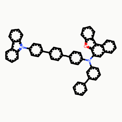 c1ccc(-c2cccc(N(c3ccc(-c4ccc(-c5ccc(-n6c7ccccc7c7ccccc76)cc5)cc4)cc3)c3cc4ccccc4c4c3oc3ccccc34)c2)cc1